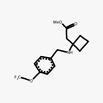 COC(=O)CC1(NCc2ccc(OC(F)(F)F)cc2)CCC1